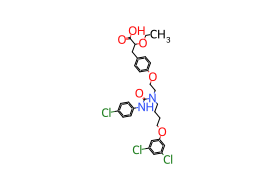 CCOC(Cc1ccc(OCCN(CCCCOc2cc(Cl)cc(Cl)c2)C(=O)Nc2ccc(Cl)cc2)cc1)C(=O)O